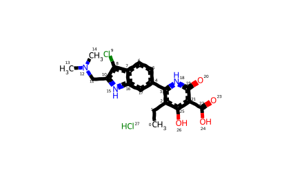 CCc1c(-c2ccc3c(Cl)c(CN(C)C)[nH]c3c2)[nH]c(=O)c(C(=O)O)c1O.Cl